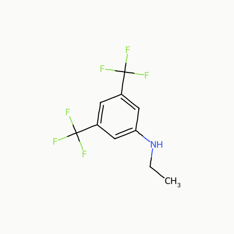 CCNc1cc(C(F)(F)F)cc(C(F)(F)F)c1